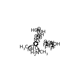 CC(N)COc1cc2nc(S(=O)(=O)NCP(=O)(O)O)sc2cc1OCC(C)N.O=C(O)C(F)(F)F.O=C(O)C(F)(F)F